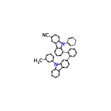 Cc1cccc(-n2c3ccccc3c3ccc(-c4ccccc4-c4cccc5c6cc(C#N)ccc6n(C6=CCCC=C6)c45)cc32)c1